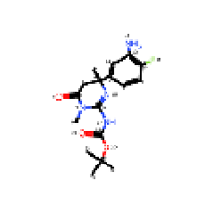 CN1C(=O)CC(C)(c2ccc(F)c(N)c2)N=C1NC(=O)OC(C)(C)C